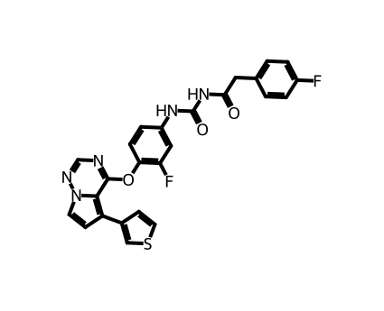 O=C(Cc1ccc(F)cc1)NC(=O)Nc1ccc(Oc2ncnn3ccc(-c4ccsc4)c23)c(F)c1